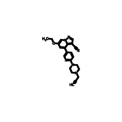 C#CCN1CCN(c2ccc(-c3cc(OCC)cn4ncc(C#N)c34)cn2)CC1